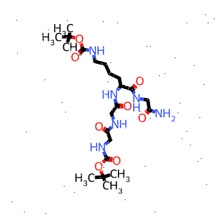 CC(C)(C)OC(=O)NCCCCC(NC(=O)CNC(=O)CNC(=O)OC(C)(C)C)C(=O)NCC(N)=O